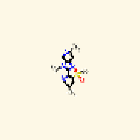 CC(C)S(=O)(=O)c1cc(C(F)(F)F)cnc1-c1nc2cc(C(F)(F)F)ncc2n1C